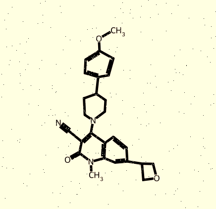 COc1ccc(C2CCN(c3c(C#N)c(=O)n(C)c4cc(C5COC5)ccc34)CC2)cc1